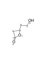 O=C1CC(CCO)O1